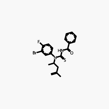 C=C(C)CC(C)N(C(=S)NC(=O)c1ccccc1)c1ccc(F)c(Br)c1